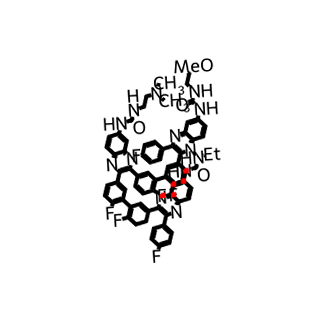 CCNC(=O)Nc1ccc2nc(-c3ccc(F)cc3)c(C3=CC(c4cc(-c5nc6ccc(NC(=O)NCCN(C)C)cc6nc5-c5ccc(F)c(-c6cc(-c7nc8ccc(NC(=O)NCCOC)cc8nc7-c7ccc(F)cc7)ccc6F)c5)ccc4F)=C(F)CC3)nc2c1